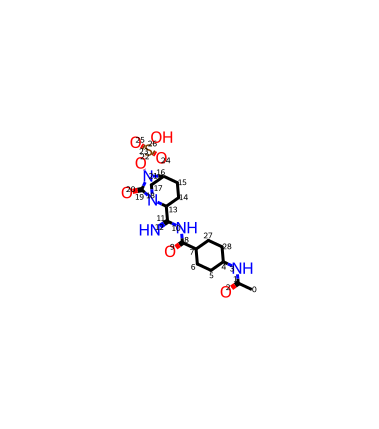 CC(=O)NC1CCC(C(=O)NC(=N)C2CCC3CN2C(=O)N3OS(=O)(=O)O)CC1